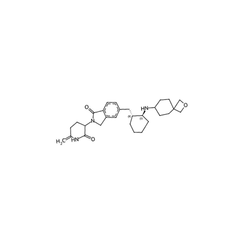 C=C1CCC(N2Cc3cc(C[C@H]4CCCC[C@@H]4NC4CCC5(CC4)COC5)ccc3C2=O)C(=O)N1